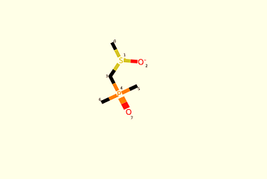 C[S+]([O-])CP(C)(C)=O